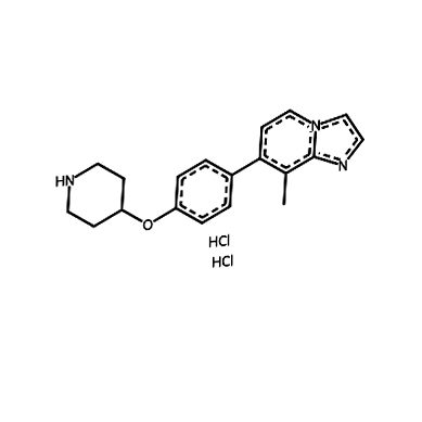 Cc1c(-c2ccc(OC3CCNCC3)cc2)ccn2ccnc12.Cl.Cl